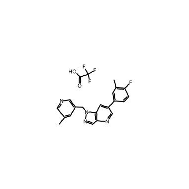 Cc1cncc(Cn2ncc3ncc(-c4ccc(F)c(C)c4)cc32)c1.O=C(O)C(F)(F)F